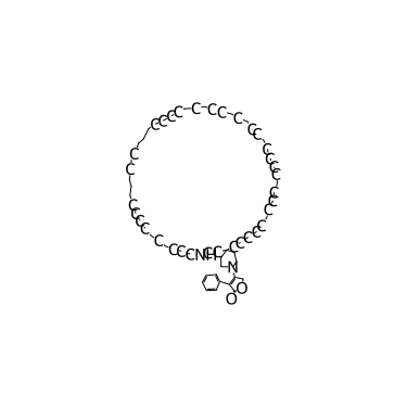 O=C1OCC(N2CCC3(CCCCCCCCCCCCCCCCCCCCCCCCCCCCCCCCCCCCCCCCCCCCCCCCNCC3)CC2)=C1c1ccccc1